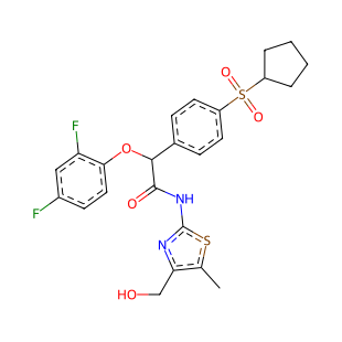 Cc1sc(NC(=O)C(Oc2ccc(F)cc2F)c2ccc(S(=O)(=O)C3CCCC3)cc2)nc1CO